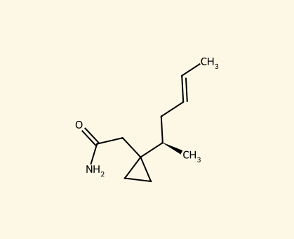 C/C=C/C[C@@H](C)C1(CC(N)=O)CC1